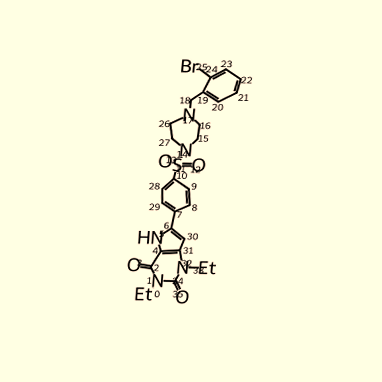 CCn1c(=O)c2[nH]c(-c3ccc(S(=O)(=O)N4CCN(Cc5ccccc5Br)CC4)cc3)cc2n(CC)c1=O